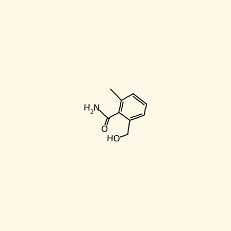 Cc1cccc(CO)c1C(N)=O